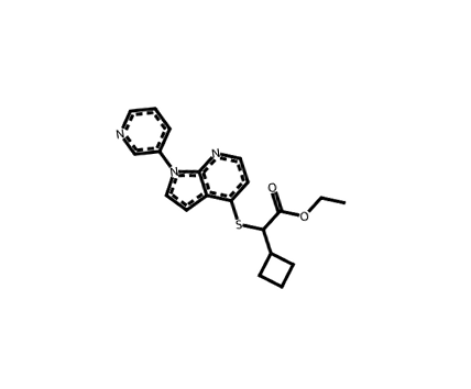 CCOC(=O)C(Sc1ccnc2c1ccn2-c1cccnc1)C1CCC1